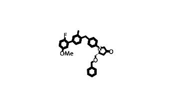 COc1ccc(F)c(-c2ccc(Cc3ccc(N4CC(=O)C[C@@H]4COCc4ccccc4)cc3)c(C)c2)c1